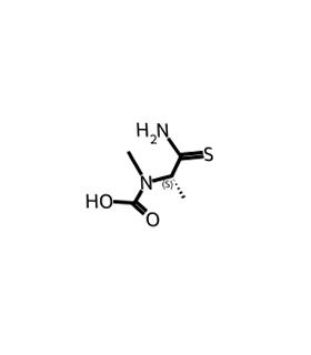 C[C@@H](C(N)=S)N(C)C(=O)O